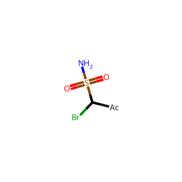 CC(=O)C(Br)S(N)(=O)=O